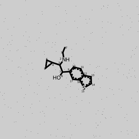 CCNC(C1CC1)C(O)c1ccc2ccsc2c1